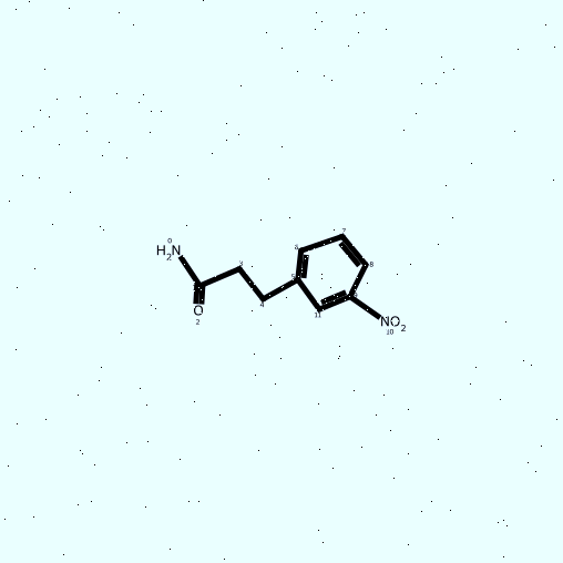 NC(=O)CCc1cccc([N+](=O)[O-])c1